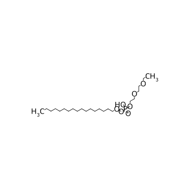 CCCCCCCCCCCCCCCCCOOP(=O)(O)OCCOCCOCC